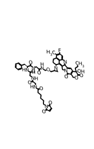 CCC[C@@]1(O)C(=O)OCc2c1cc1n(c2=O)Cc2c-1nc1cc(F)c(C)c3c1c2[C@@H](N1CC1COCNC(=O)CNC(=O)[C@H](Cc1ccccc1)NC(=O)CNC(=O)CNC(=O)CCCCCN1C(=O)C=CC1=O)CC3